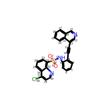 O=S(=O)(Nc1ccccc1C#Cc1cncc2ccccc12)c1cccc2c(Cl)ccnc12